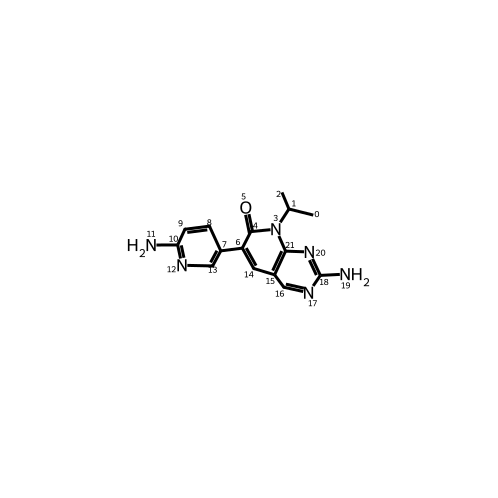 CC(C)n1c(=O)c(-c2ccc(N)nc2)cc2cnc(N)nc21